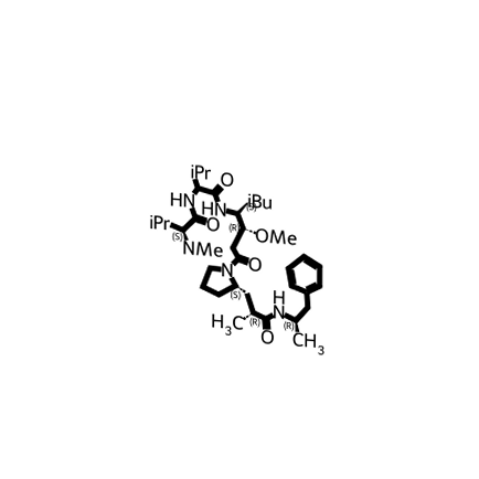 CC[C@H](C)C(NC(=O)C(NC(=O)[C@@H](NC)C(C)C)C(C)C)[C@@H](CC(=O)N1CCC[C@H]1C[C@@H](C)C(=O)N[C@H](C)Cc1ccccc1)OC